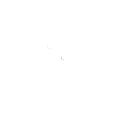 CCc1[c]n[c]n1CC(F)F